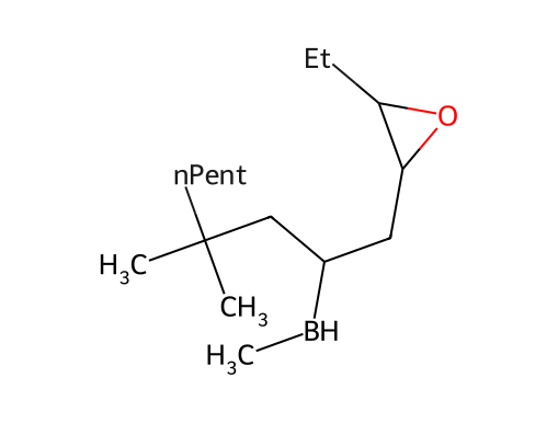 CBC(CC1OC1CC)CC(C)(C)CCCCC